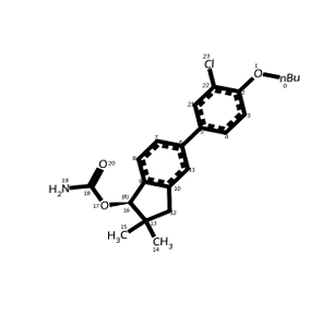 CCCCOc1ccc(-c2ccc3c(c2)CC(C)(C)[C@H]3OC(N)=O)cc1Cl